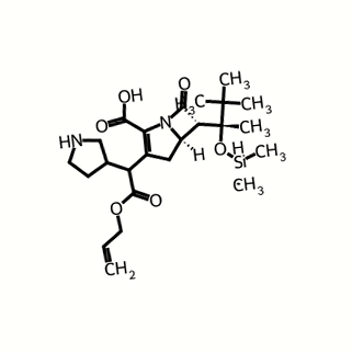 C=CCOC(=O)C(C1=C(C(=O)O)N2C(=O)[C@H]([C@@](C)(O[SiH](C)C)C(C)(C)C)[C@H]2C1)C1CCNC1